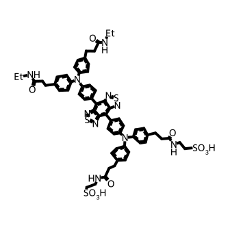 CCNC(=O)CCc1ccc(N(c2ccc(CCC(=O)NCC)cc2)c2ccc(-c3c4c(c(-c5ccc(N(c6ccc(CCC(=O)NCCS(=O)(=O)O)cc6)c6ccc(CCC(=O)NCCS(=O)(=O)O)cc6)cc5)c5nsnc35)N=S=N4)cc2)cc1